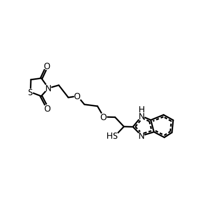 O=C1CSC(=O)N1CCOCCOCC(S)c1nc2ccccc2[nH]1